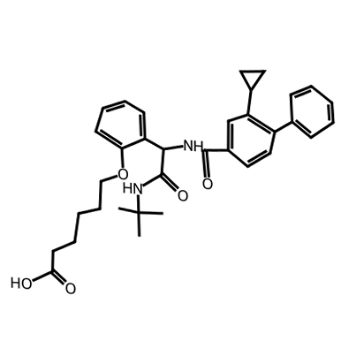 CC(C)(C)NC(=O)C(NC(=O)c1ccc(-c2ccccc2)c(C2CC2)c1)c1ccccc1OCCCCCC(=O)O